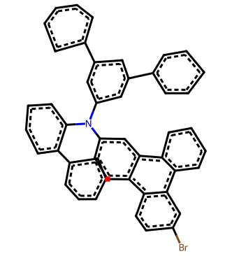 Brc1ccc2c3ccc(N(c4cc(-c5ccccc5)cc(-c5ccccc5)c4)c4ccccc4-c4ccccc4)cc3c3ccccc3c2c1